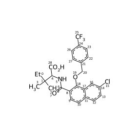 CCC(C)(C)C(NC(=O)c1ccc2ccc(Cl)cc2c1OCc1ccc(C(F)(F)F)cc1)C(=O)O